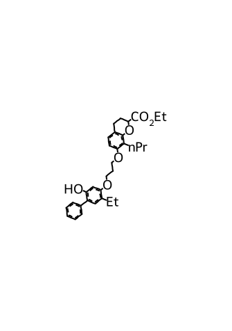 CCCc1c(OCCCOc2cc(O)c(-c3ccccc3)cc2CC)ccc2c1OC(C(=O)OCC)CC2